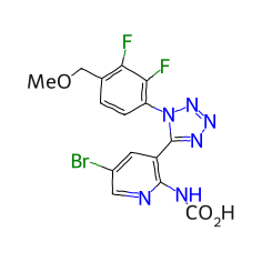 COCc1ccc(-n2nnnc2-c2cc(Br)cnc2NC(=O)O)c(F)c1F